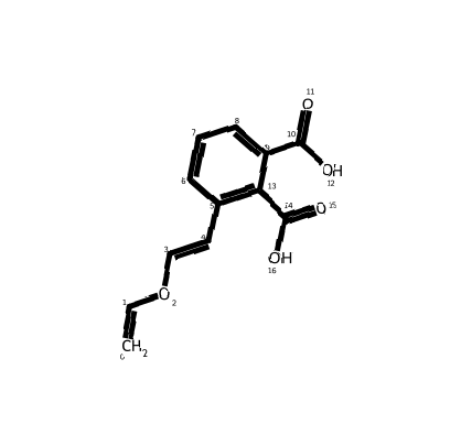 C=COC=Cc1cccc(C(=O)O)c1C(=O)O